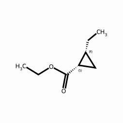 CCOC(=O)[C@H]1C[C@H]1CC